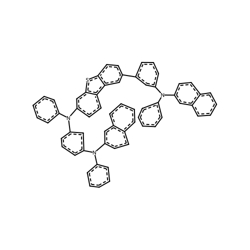 c1ccc(N(c2cccc(-c3ccc4sc5cc(N(c6ccccc6)c6cccc(N(c7ccccc7)c7ccc8ccccc8c7)c6)ccc5c4c3)c2)c2ccc3ccccc3c2)cc1